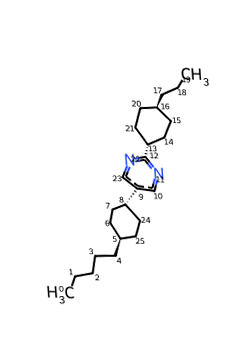 CCCCC[C@H]1CC[C@H](c2cnc([C@H]3CC[C@H](CCC)CC3)nc2)CC1